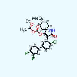 CCOC(C)OC(=O)OC1=C(c2cc(-c3ccc(F)c(F)c3)ccc2Cl)C(=O)N[C@]12CC[C@@H](OC)CC2